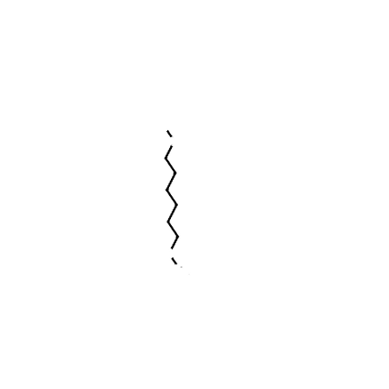 PPCCCCCCPP